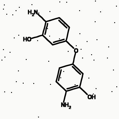 Nc1ccc(Oc2ccc(N)c(O)c2)cc1O